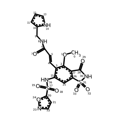 COc1c(C=CC(=O)NCc2ccc[nH]2)c(NS(=O)(=O)c2ccno2)cc2c1C(=O)NS2(=O)=O